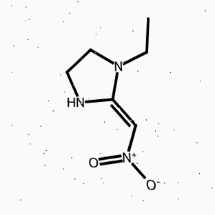 CCN1CCN/C1=C\[N+](=O)[O-]